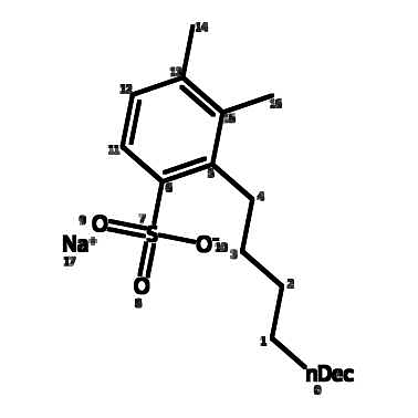 CCCCCCCCCCCCCCc1c(S(=O)(=O)[O-])ccc(C)c1C.[Na+]